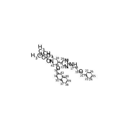 CC(C)(C)OC(=O)ON1CCC(c2cnc(NCCCOCc3ccccc3)nc2)C(OCc2ccc3ccccc3c2)C1